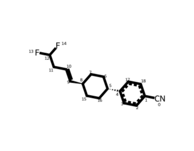 N#Cc1ccc([C@H]2CC[C@H](C=CCC(F)F)CC2)cc1